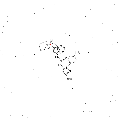 Cc1ccc(-n2nc(C(C)(C)C)cc2NC(=O)Nc2cccc(CC3CC4CCC(C3)N4C(=O)c3ccsc3)c2)cc1